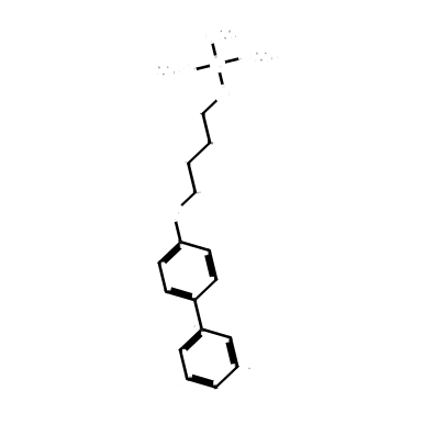 CO[Si](OC)(OC)OCCCCOc1ccc(-c2ccccc2)cc1